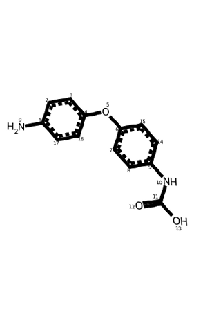 Nc1ccc(Oc2ccc(NC(=O)O)cc2)cc1